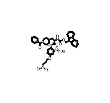 CCCCOc1cc(OCCCN(CC)CC)ccc1NC(=O)C(CC1CCN(C(=O)c2ccccc2)CC1)NC(=O)OCC1c2ccccc2-c2ccccc21